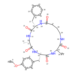 CCCCOc1ccc(C[C@@H]2NC(=O)[C@H](C)NC(=O)[C@H](Cc3ccccc3)NC(=O)CCCNC(=O)C(C(C)C)NC2=O)cc1